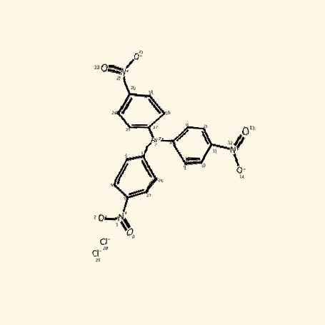 O=[N+]([O-])c1cc[c]([Bi+2]([c]2ccc([N+](=O)[O-])cc2)[c]2ccc([N+](=O)[O-])cc2)cc1.[Cl-].[Cl-]